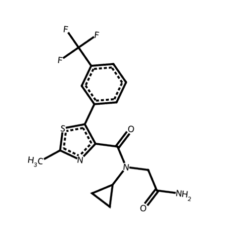 Cc1nc(C(=O)N(CC(N)=O)C2CC2)c(-c2cccc(C(F)(F)F)c2)s1